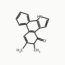 CC1=Cc2c(c3cc[nH]c3c3ccccc23)C(=O)C1C